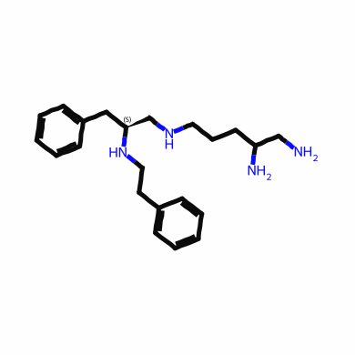 NCC(N)CCCNC[C@H](Cc1ccccc1)NCCc1ccccc1